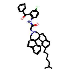 CC(C)CCCCc1ccc2ccc3c(c2c1)-c1c(ccc2ccccc12)CN(CC(=O)Nc1ccc(Cl)cc1C(=O)c1ccccc1)C3